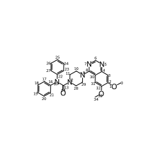 COc1cc2ncnc(N3CCN(C(=O)N(c4ccccc4)c4ccccc4)CC3)c2cc1OC